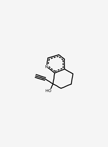 C#CC1(O)CCCc2cccnc21